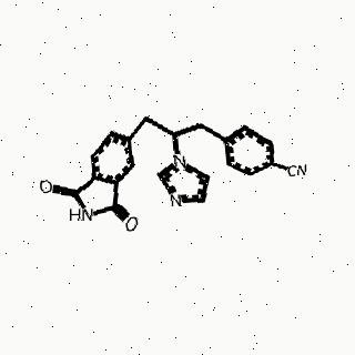 N#Cc1ccc(CC(Cc2ccc3c(c2)C(=O)NC3=O)n2ccnc2)cc1